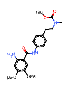 COc1cc(N)c(C(=O)Nc2ccc(CCN(C)C(=O)OC(C)(C)C)cc2)cc1OC